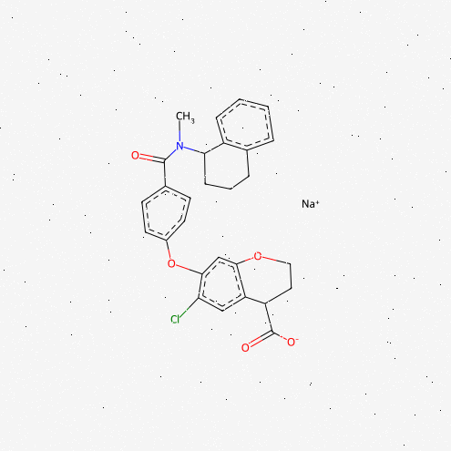 CN(C(=O)c1ccc(Oc2cc3c(cc2Cl)C(C(=O)[O-])CCO3)cc1)C1CCCc2ccccc21.[Na+]